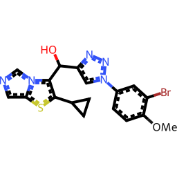 COc1ccc(-n2cc(C(O)c3c(C4CC4)sc4cncn34)nn2)cc1Br